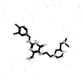 Cc1ccc(CNc2nc(C=N)c(NCCN3CCOC(CN(C)C)C3)c(=O)[nH]2)cc1C